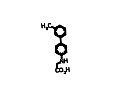 Cc1cccc(-c2ccc(NCC(=O)O)cc2)c1